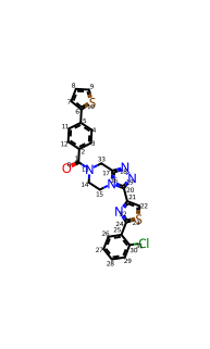 O=C(c1ccc(-c2cccs2)cc1)N1CCn2c(nnc2-c2csc(-c3ccccc3Cl)n2)C1